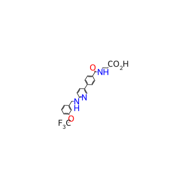 O=C(O)CCNC(=O)c1ccc(-c2ccc(NCc3cccc(OC(F)(F)F)c3)nc2)cc1